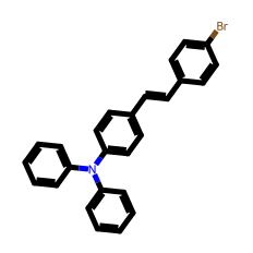 Brc1ccc(C=Cc2ccc(N(c3ccccc3)c3ccccc3)cc2)cc1